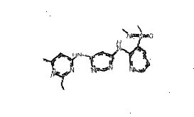 CN=S(C)(=O)c1cccnc1Nc1cc(Nc2cc(C)nc(C)n2)ncn1